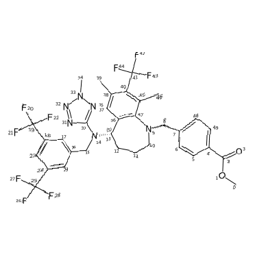 COC(=O)c1ccc(CN2CCC[C@H](N(Cc3cc(C(F)(F)F)cc(C(F)(F)F)c3)c3nnn(C)n3)c3cc(C)c(C(F)(F)F)c(C)c32)cc1